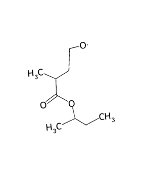 CCC(C)OC(=O)C(C)CC[O]